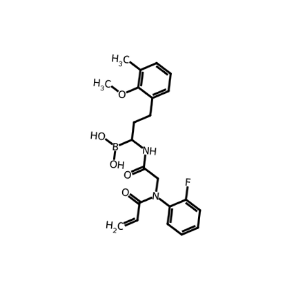 C=CC(=O)N(CC(=O)NC(CCc1cccc(C)c1OC)B(O)O)c1ccccc1F